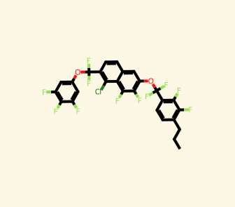 CCCc1ccc(C(F)(F)Oc2cc3ccc(C(F)(F)Oc4cc(F)c(F)c(F)c4)c(Cl)c3c(F)c2F)c(F)c1F